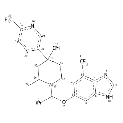 CC(C)C(Oc1cc(C(F)(F)F)c2nc[nH]c2c1)N1CCC(O)(c2cnc(C(F)(F)F)cn2)CC1C